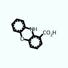 O=C(O)c1cccc2c1Nc1ccccc1O2